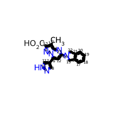 Cc1c(C(=O)O)nn2c(-c3cn[nH]c3)cc(N3Cc4ccccc4C3)nc12